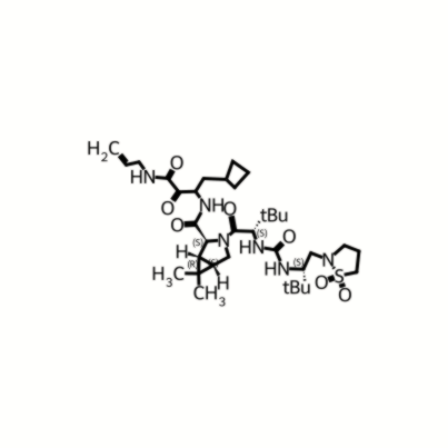 C=CCNC(=O)C(=O)C(CC1CCC1)NC(=O)[C@@H]1[C@@H]2[C@H](CN1C(=O)[C@@H](NC(=O)N[C@H](CN1CCCS1(=O)=O)C(C)(C)C)C(C)(C)C)C2(C)C